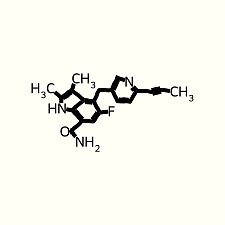 CC#Cc1ccc(Cc2c(F)cc(C(N)=O)c3[nH]c(C)c(C)c23)cn1